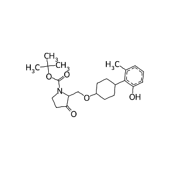 Cc1cccc(O)c1C1CCC(OCC2C(=O)CCN2C(=O)OC(C)(C)C)CC1